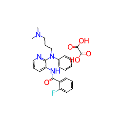 CN(C)CCCN(c1ccccc1)c1ncccc1NC(=O)c1ccccc1F.O=C(O)C(=O)O